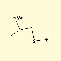 CCSCC(C)NC